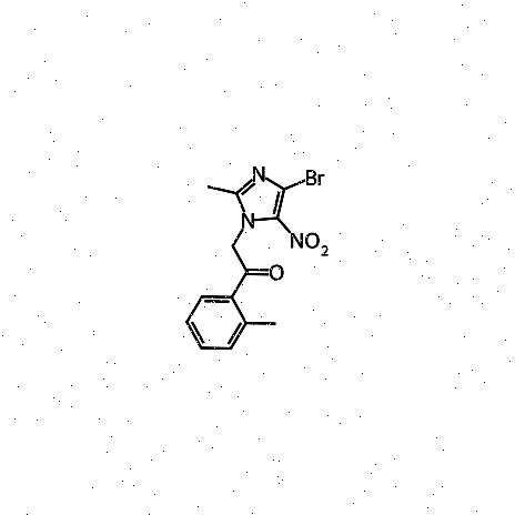 Cc1ccccc1C(=O)Cn1c(C)nc(Br)c1[N+](=O)[O-]